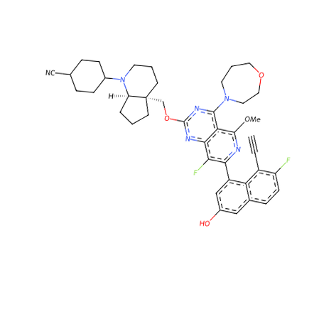 C#Cc1c(F)ccc2cc(O)cc(-c3nc(OC)c4c(N5CCCOCC5)nc(OC[C@]56CCC[C@H]5N(C5CCC(C#N)CC5)CCC6)nc4c3F)c12